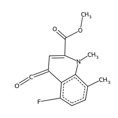 COC(=O)C1=CC(=C=O)c2c(F)ccc(C)c2N1C